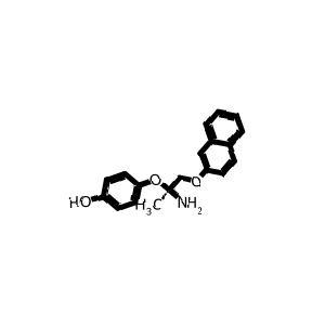 C[C@@](N)(COc1ccc2ccccc2c1)Oc1ccc(O)cc1